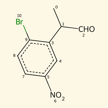 CC(C=O)c1cc([N+](=O)[O-])ccc1Br